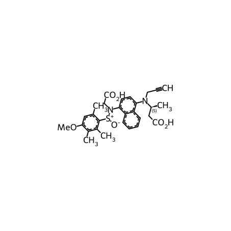 C#CCN(c1ccc(N(CC(=O)O)[S+]([O-])c2c(C)cc(OC)c(C)c2C)c2ccccc12)[C@@H](C)CC(=O)O